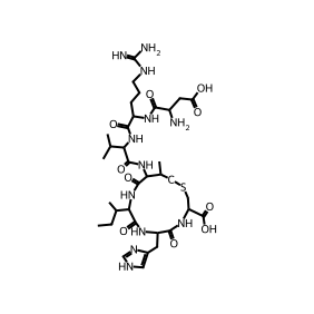 CCC(C)C1NC(=O)C(NC(=O)C(NC(=O)C(CCCNC(=N)N)NC(=O)C(N)CC(=O)O)C(C)C)C(C)CSCC(C(=O)O)NC(=O)C(Cc2c[nH]cn2)NC1=O